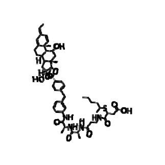 C/C=C1\C=C[C@@]2(C)C(=C1)CC[C@@H]1C2[C@@H](O)C[C@@]2(C)C1C[C@H]1O[C@@H](c3ccc(Cc4cccc(NC(=O)[C@H](C)NC(=O)[C@H](C)NC(=O)CCNC(=O)C(CC(=O)O)SC(C)CCCC)c4)cc3)O[C@]12C(=O)CO